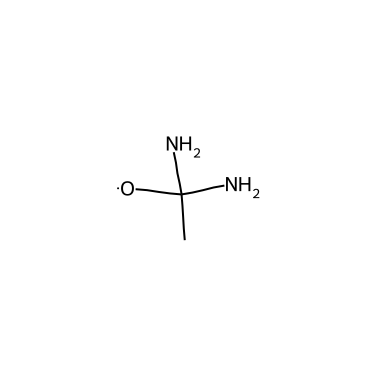 CC(N)(N)[O]